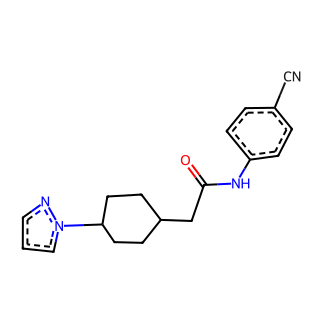 N#Cc1ccc(NC(=O)CC2CCC(n3cccn3)CC2)cc1